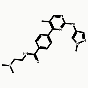 Cc1cnc(Nc2cnn(C)c2)nc1-c1ccc(C(=O)NCCN(C)C)cc1